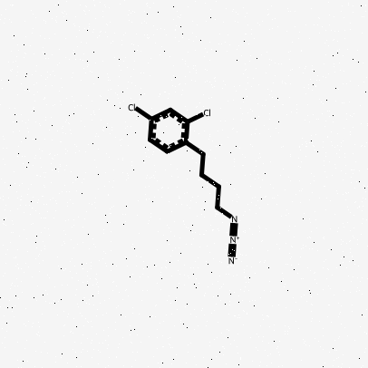 [N-]=[N+]=NCCCCc1ccc(Cl)cc1Cl